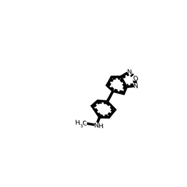 CNc1ccc(-c2ccc3nonc3c2)cc1